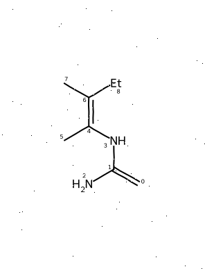 C=C(N)N/C(C)=C(/C)CC